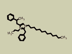 CCCCCCCCCCCCCn1cc(CC(C)c2ccccc2)[n+](CCC)c1Cc1ccccc1